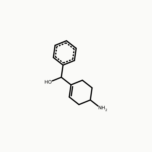 NC1CC=C(C(O)c2ccccc2)CC1